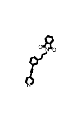 O=C1c2ccccc2C(=O)N1CCCc1cccc(C#Cc2ccncc2)c1